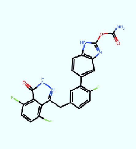 NC(=O)Oc1nc2cc(-c3cc(Cc4n[nH]c(=O)c5c(F)ccc(F)c45)ccc3F)ccc2[nH]1